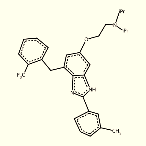 Cc1cccc(-c2nc3c(Cc4ccccc4C(F)(F)F)cc(OCCN(C(C)C)C(C)C)cc3[nH]2)c1